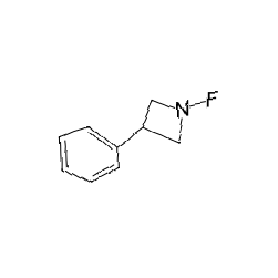 FN1CC(c2ccccc2)C1